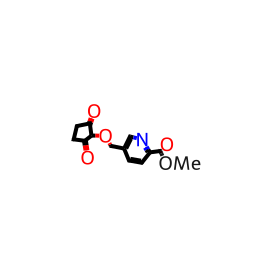 COC(=O)c1ccc(COC2C(=O)CCC2=O)cn1